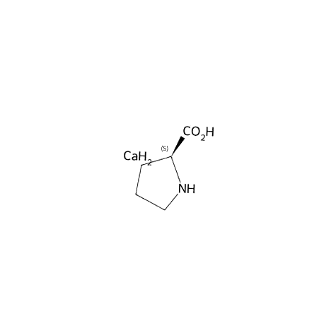 O=C(O)[C@@H]1CCCN1.[CaH2]